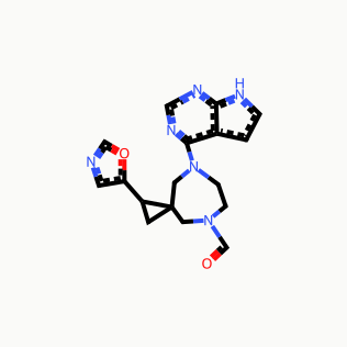 O=CN1CCN(c2ncnc3[nH]ccc23)CC2(CC2c2cnco2)C1